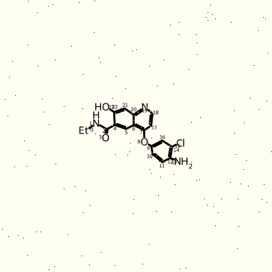 CCNC(=O)c1cc2c(Oc3ccc(N)c(Cl)c3)ccnc2cc1O